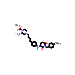 COc1ccc(CN2C(=O)CCC(Nc3ccc(CCCCN4CCN(C(=O)OC(C)(C)C)[C@H](C(=O)O)C4)cc3)C2=O)cc1